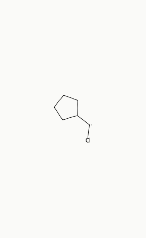 Cl[CH]C1CCCC1